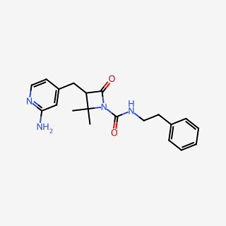 CC1(C)C(Cc2ccnc(N)c2)C(=O)N1C(=O)NCCc1ccccc1